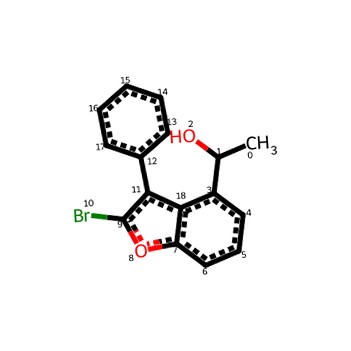 CC(O)c1cccc2oc(Br)c(-c3ccccc3)c12